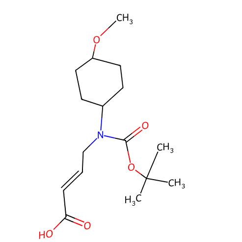 COC1CCC(N(CC=CC(=O)O)C(=O)OC(C)(C)C)CC1